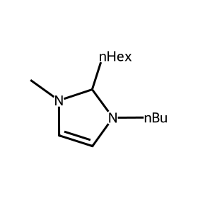 CCCCCCC1N(C)C=CN1CCCC